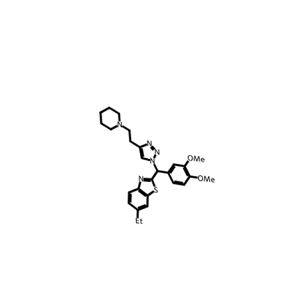 CCc1ccc2nc(C(c3ccc(OC)c(OC)c3)n3cc(CCN4CCCCC4)nn3)sc2c1